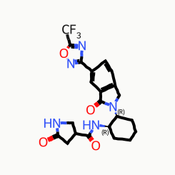 O=C1CC(C(=O)N[C@@H]2CCCC[C@H]2N2Cc3ccc(-c4noc(C(F)(F)F)n4)cc3C2=O)CN1